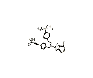 CN(C)c1ccc(CCN(Cc2ccc(C#CC(=O)O)cc2)c2nc3cccc(F)c3s2)cc1